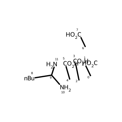 CC(=O)O.CC(=O)O.CC(=O)O.CC(=O)O.CCCCC(N)N